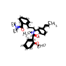 C/C=C/c1cccc(C(CCc2ccccc2C(=O)N(CC)CC)N(C)C(=O)c2ccccc2OC=O)c1